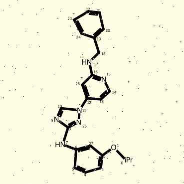 CC(C)Oc1cccc(Nc2ncn(-c3ccnc(NCc4ccccc4)c3)n2)c1